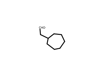 O=[C]CC1CCCCCC1